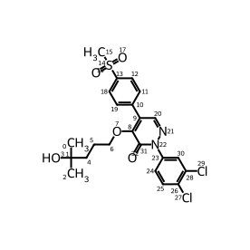 CC(C)(O)CCCOc1c(-c2ccc(S(C)(=O)=O)cc2)cnn(-c2ccc(Cl)c(Cl)c2)c1=O